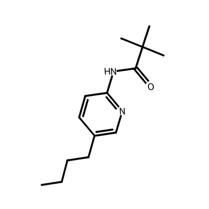 CCCCc1ccc(NC(=O)C(C)(C)C)nc1